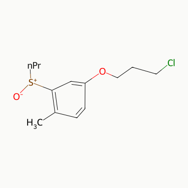 CCC[S+]([O-])c1cc(OCCCCl)ccc1C